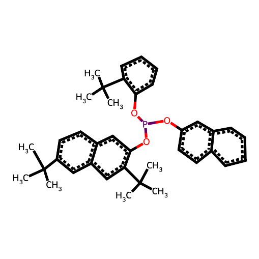 CC(C)(C)c1ccc2cc(OP(Oc3ccc4ccccc4c3)Oc3ccccc3C(C)(C)C)c(C(C)(C)C)cc2c1